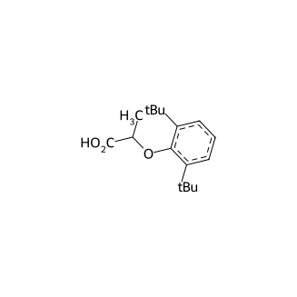 CC(Oc1c(C(C)(C)C)cccc1C(C)(C)C)C(=O)O